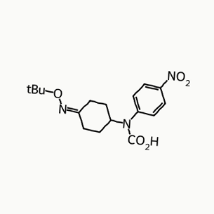 CC(C)(C)ON=C1CCC(N(C(=O)O)c2ccc([N+](=O)[O-])cc2)CC1